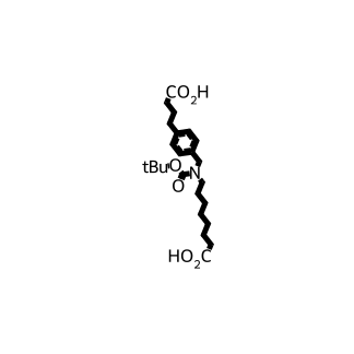 CC(C)(C)OC(=O)N(CCCCCCCC(=O)O)Cc1ccc(CCCC(=O)O)cc1